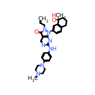 C=CCn1c(=O)c2cnc(Nc3ccc(N4CCN(C)CC4)cc3)nc2n1-c1ccc2c(c1)[C@@](C)(O)CCC2